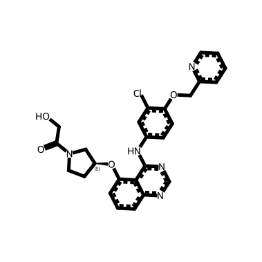 O=C(CO)N1CC[C@H](Oc2cccc3ncnc(Nc4ccc(OCc5ccccn5)c(Cl)c4)c23)C1